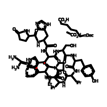 CC(=O)O.CCCCCCCCCCCCCCCC(=O)O.CCNC(=O)C1CCCN1C(=O)C(CCCN=C(N)N)NC(=O)C(NC(=O)C(NC(=O)C(Cc1ccc(O)cc1)NC(=O)C(CO)NC(=O)C(Cc1c[nH]c2ccccc12)NC(=O)C(Cc1cnc[nH]1)NC(=O)C1CCC(=O)N1)C(C)C)C(C)C